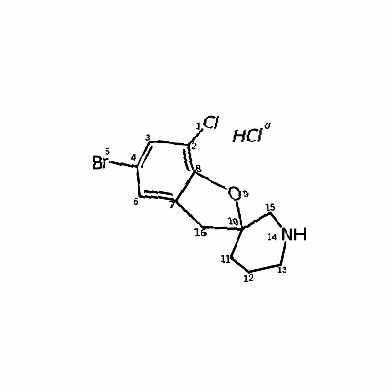 Cl.Clc1cc(Br)cc2c1OC1(CCCNC1)C2